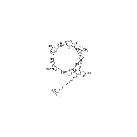 CC[C@@H](C)[C@@H]1NC(=O)[C@H]([C@@H](C)O)NC(=O)CNC(=O)[C@H](CC(=O)O)NC(=O)CNC(=O)[C@H](CC(=O)O)NC(=O)CNC(=O)[C@@H]2CCCCN2C(=O)[C@@H](NC(=O)[C@H](CC(=O)O)NC(=O)/C=C/CCCCCCCCCC(C)C)CNC(=O)[C@@H]2CCCN2C1=O